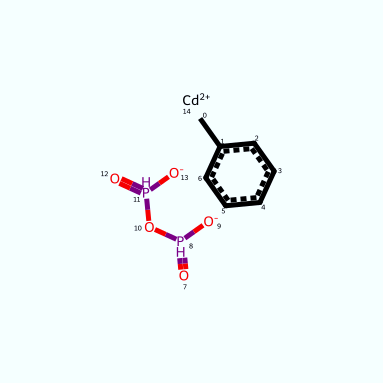 Cc1ccccc1.O=[PH]([O-])O[PH](=O)[O-].[Cd+2]